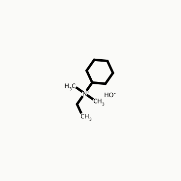 CC[N+](C)(C)C1CCCCC1.[OH-]